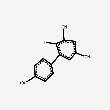 CC(C)(C)c1ccc(-c2cc(C#N)cc(C#N)c2F)cc1